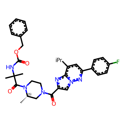 CC(C)c1cc(-c2ccc(F)cc2)nn2cc(C(=O)N3CCN(C(=O)C(C)(C)NC(=O)OCc4ccccc4)[C@@H](C)C3)nc12